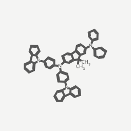 CC1(C)c2cc(N(c3ccccc3)c3ccccc3)ccc2-c2ccc(N(c3ccc(-n4c5ccccc5c5ccccc54)cc3)c3ccc(-n4c5ccccc5c5ccccc54)cc3)cc21